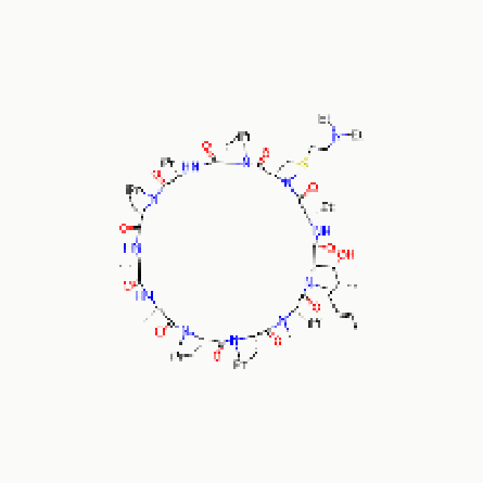 C/C=C/C[C@@H](C)[C@@H](O)[C@H]1C(=O)N[C@@H](CC)C(=O)N(C)[C@@H](CSCCN(CC)CC)C(=O)N(C)[C@@H](CC(C)C)C(=O)N[C@@H](C(C)C)C(=O)N(C)[C@@H](CC(C)C)C(=O)N[C@@H](C)C(=O)N[C@@H](C)C(=O)N(C)[C@@H](CC(C)C)C(=O)N(C)[C@@H](CC(C)C)C(=O)N(C)[C@@H](C(C)C)C(=O)N1C